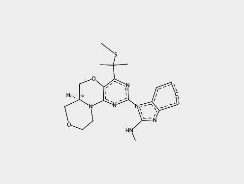 CNc1nc2ccccc2n1-c1nc2c(c(C(C)(C)SC)n1)OC[C@@H]1COCCN21